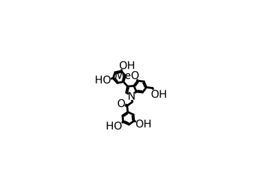 COc1cc(CO)cc2c1c(-c1cc(O)cc(O)c1)cn2CC(=O)c1cc(O)cc(O)c1